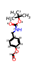 CC(C)(C)OC(=O)NCc1ccc(OC=O)cc1